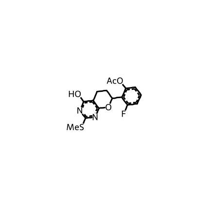 CSc1nc(O)c2c(n1)OC(c1c(F)cccc1OC(C)=O)CC2